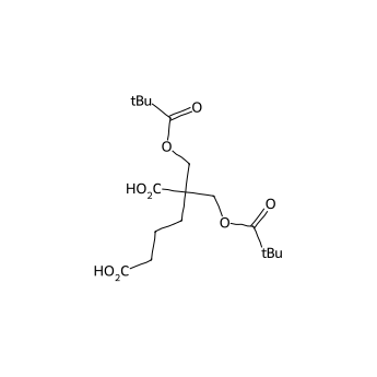 CC(C)(C)C(=O)OCC(CCCC(=O)O)(COC(=O)C(C)(C)C)C(=O)O